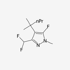 CCCC(C)(C)c1c(C(F)F)nn(C)c1F